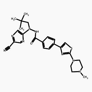 CN1CCN(c2nc(-c3ccc(C(=O)NN(CC(C)(C)C)c4cnc(C#N)cn4)cc3)cs2)CC1